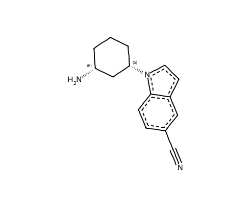 N#Cc1ccc2c(ccn2[C@H]2CCC[C@@H](N)C2)c1